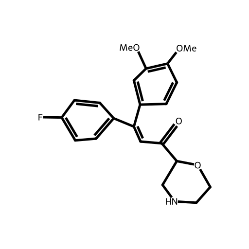 COc1ccc(/C(=C\C(=O)C2CNCCO2)c2ccc(F)cc2)cc1OC